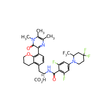 Cc1nc(-c2ccc(C[C@H](NC(=O)c3c(F)cc(N4CCC(F)(F)CC4C(F)(F)F)cc3F)C(=O)O)c3c2OCCC3)c(=O)n(C)c1C